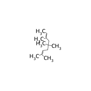 C/C=C(\C)CC(C)(C)CC=C(C)C